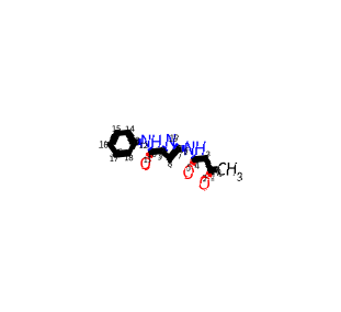 CC(=O)CC(=O)NC1=CC(C(=O)Nc2ccccc2)=N1